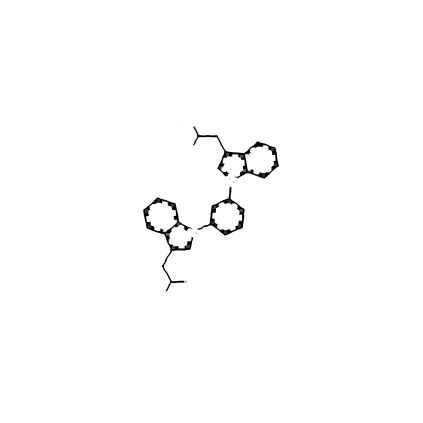 CC(C)Cc1cn(-c2cccc(-n3cc(CC(C)C)c4ccccc43)c2)c2ccccc12